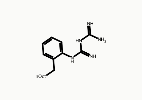 CCCCCCCCCc1ccccc1NC(=N)NC(=N)N